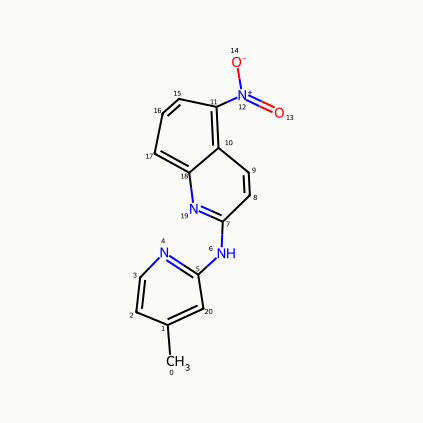 Cc1ccnc(Nc2ccc3c([N+](=O)[O-])cccc3n2)c1